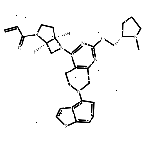 C=CC(=O)N1CC[C@@H]2[C@H]1CN2c1nc(OC[C@@H]2CCCN2C)nc2c1CCN(c1cccc3sccc13)C2